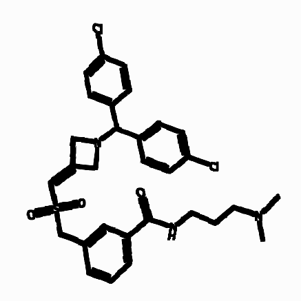 CN(C)CCCNC(=O)c1cccc(CS(=O)(=O)C=C2CN(C(c3ccc(Cl)cc3)c3ccc(Cl)cc3)C2)c1